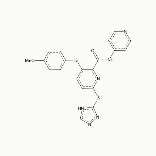 COc1ccc(Sc2ccc(Sc3nnc[nH]3)nc2C(=O)Nc2ccncn2)cc1